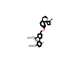 COc1ccc(F)c(-c2ccc(COc3ccc4c(c3)[C@]3(CCC4)CC[C@@H]3C)cc2[C@H](OC)C(C)(C)C)c1